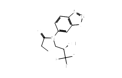 O=C1CC[C@@H]([C@@H](O)C(F)(F)F)N1c1ccc2nnsc2c1